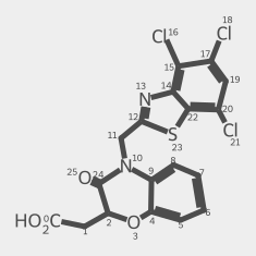 O=C(O)CC1Oc2ccccc2N(Cc2nc3c(Cl)c(Cl)cc(Cl)c3s2)C1=O